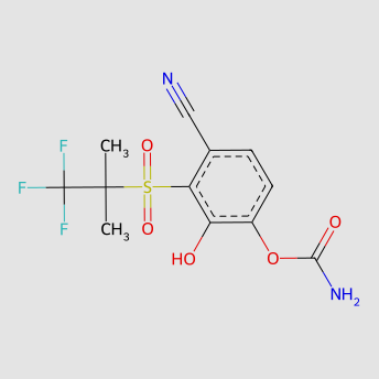 CC(C)(C(F)(F)F)S(=O)(=O)c1c(C#N)ccc(OC(N)=O)c1O